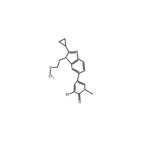 CCc1cc(-c2ccc3nc(C4CC4)n(CCOC(F)(F)F)c3c2)cn(C)c1=O